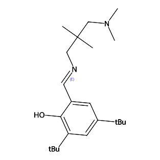 CN(C)CC(C)(C)C/N=C/c1cc(C(C)(C)C)cc(C(C)(C)C)c1O